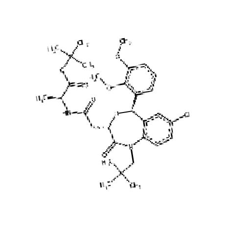 COc1cccc([C@@H]2O[C@@H](CC(=O)N[C@@H](C)C(=O)OC(C)(C)C)C(=O)N(CC(C)(C)C)c3ccc(Cl)cc32)c1OC